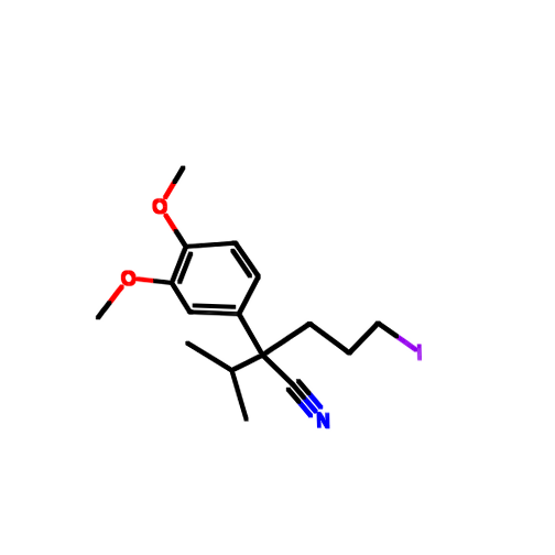 COc1ccc(C(C#N)(CCCI)C(C)C)cc1OC